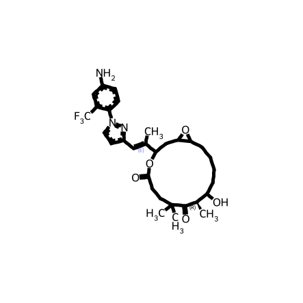 C/C(=C\c1ccn(-c2ccc(N)cc2C(F)(F)F)n1)C1CC2OC2CCCCC(O)[C@@H](C)C(=O)C(C)(C)CCC(=O)O1